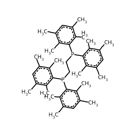 Cc1cc(C)c(C)c(P(CCP(c2c(C)c(C)cc(C)c2C)c2c(C)c(C)cc(C)c2C)c2c(C)c(C)cc(C)c2C)c1C